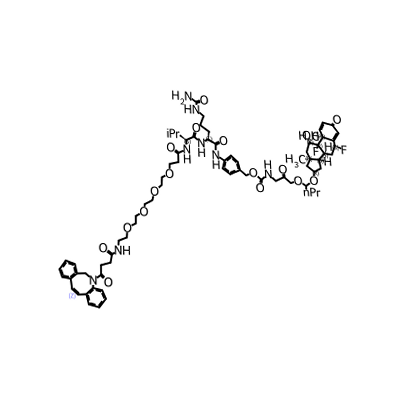 CCCC(OCC(=O)CNC(=O)OCc1ccc(NC(=O)[C@H](CCCNC(N)=O)NC(=O)[C@@H](NC(=O)CCOCCOCCOCCOCCNC(=O)CCC(=O)N2Cc3ccccc3/C=C\c3ccccc32)C(C)C)cc1)O[C@@H]1C[C@H]2[C@@H]3C[C@H](F)C4=CC(=O)C=C[C@]4(C)[C@@]3(F)[C@@H](O)C[C@]2(C)C1